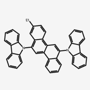 CCc1ccc2c(c1)c(-n1c3ccccc3c3ccccc31)cc1c3ccccc3c(-n3c4ccccc4c4ccccc43)cc21